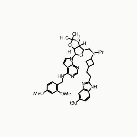 COc1ccc(CNc2ncnc3c2ccn3[C@@H]2O[C@H](CN(C(C)C)C3CC(CCc4nc5cc(C(C)(C)C)ccc5[nH]4)C3)[C@H]3OC(C)(C)O[C@@H]32)c(OC)c1